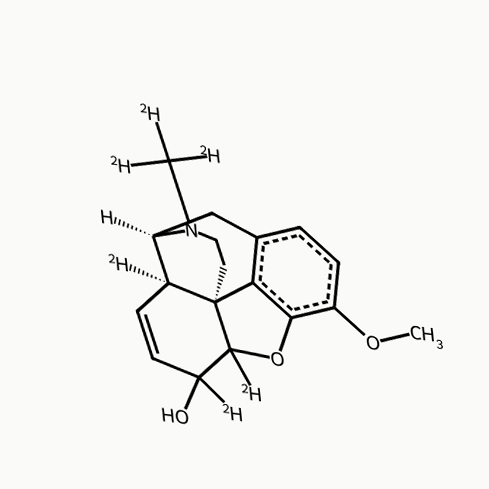 [2H]C([2H])([2H])N1CC[C@]23c4c5ccc(OC)c4OC2([2H])C([2H])(O)C=C[C@@]3([2H])[C@H]1C5